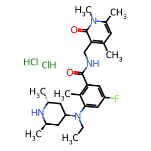 CCN(c1cc(F)cc(C(=O)NCc2c(C)cc(C)n(C)c2=O)c1C)C1C[C@@H](C)N[C@H](C)C1.Cl.Cl